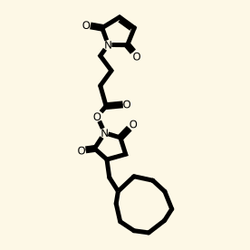 O=C(CCCN1C(=O)C=CC1=O)ON1C(=O)CC(CC2CCCCCCCCC2)C1=O